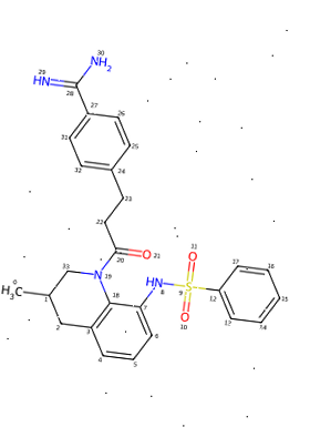 CC1Cc2cccc(NS(=O)(=O)c3ccccc3)c2N(C(=O)CCc2ccc(C(=N)N)cc2)C1